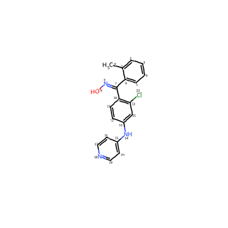 Cc1ccccc1C(=NO)c1ccc(Nc2ccncc2)cc1Cl